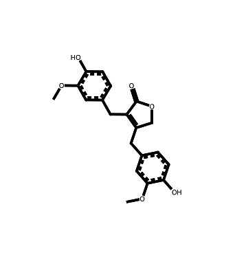 COc1cc(CC2=C(Cc3ccc(O)c(OC)c3)C(=O)OC2)ccc1O